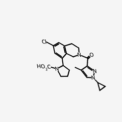 Cc1cn(C2CC2)nc1C(=O)N1CCc2cc(Cl)cc(C3CCCN3C(=O)O)c2C1